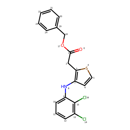 O=C(Cc1sccc1Nc1cccc(Cl)c1Cl)OCc1ccccc1